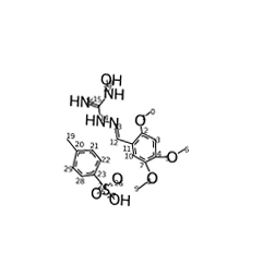 COc1cc(OC)c(OC)cc1C=NNC(=N)NO.Cc1ccc(S(=O)(=O)O)cc1